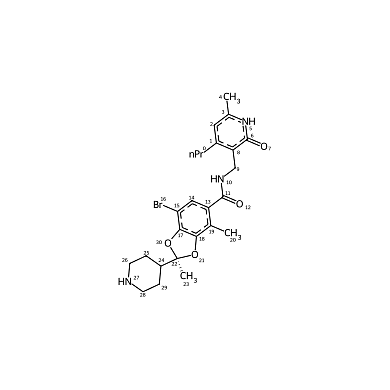 CCCc1cc(C)[nH]c(=O)c1CNC(=O)c1cc(Br)c2c(c1C)O[C@@](C)(C1CCNCC1)O2